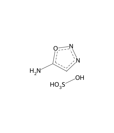 Nc1cnno1.O=S(=O)(O)O